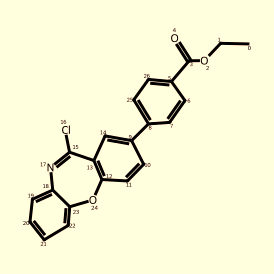 CCOC(=O)c1ccc(-c2ccc3c(c2)C(Cl)=Nc2ccccc2O3)cc1